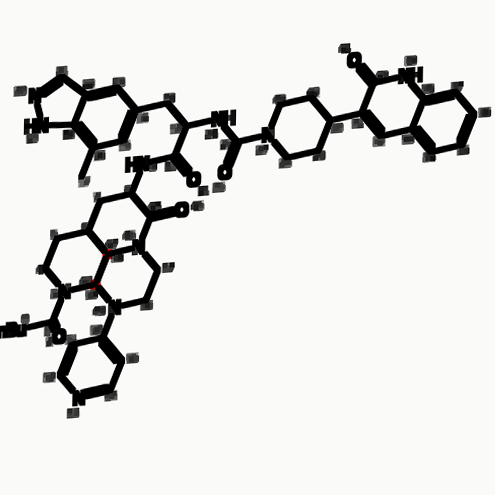 CCCCC(=O)N1CCC(CC(NC(=O)C(Cc2cc(C)c3[nH]ncc3c2)NC(=O)N2CCC(c3cc4ccccc4[nH]c3=O)CC2)C(=O)N2CCN(c3ccncc3)CC2)CC1